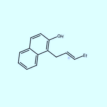 CC/C=C/Cc1c(O)ccc2ccccc12